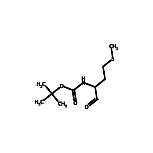 CSCCC([C]=O)NC(=O)OC(C)(C)C